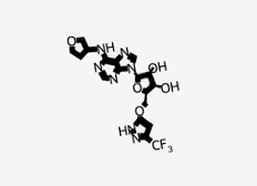 O[C@@H]1[C@H](O)[C@H](n2cnc3c(NC4CCOC4)ncnc32)O[C@@H]1COc1cc(C(F)(F)F)n[nH]1